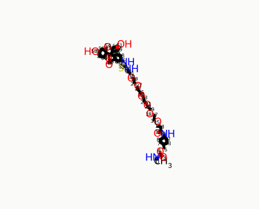 CNC(=O)OCc1ccc(NC(=O)CCOCCOCCOCCOCCOCCOCCNC(=S)Nc2ccc3c(c2)C(=O)OC32c3ccc(O)cc3Oc3cc(O)ccc32)cc1